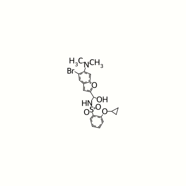 CN(C)c1cc2oc(C(O)NS(=O)(=O)c3ccccc3OC3CC3)cc2cc1Br